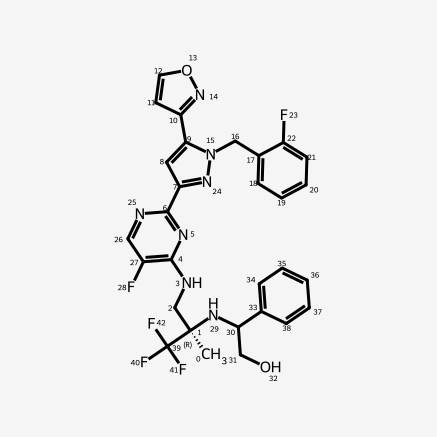 C[C@](CNc1nc(-c2cc(-c3ccon3)n(Cc3ccccc3F)n2)ncc1F)(NC(CO)c1ccccc1)C(F)(F)F